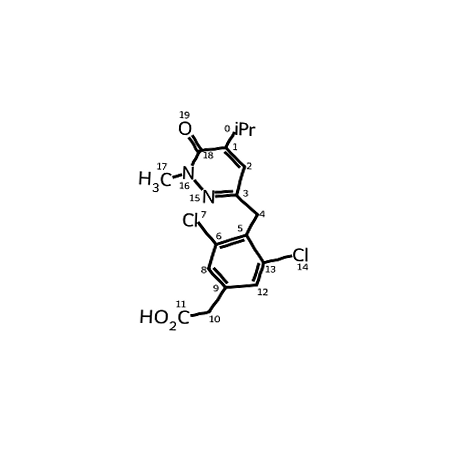 CC(C)c1cc(Cc2c(Cl)cc(CC(=O)O)cc2Cl)nn(C)c1=O